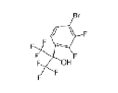 OC(c1ccc(Br)c(F)c1F)(C(F)(F)F)C(F)(F)F